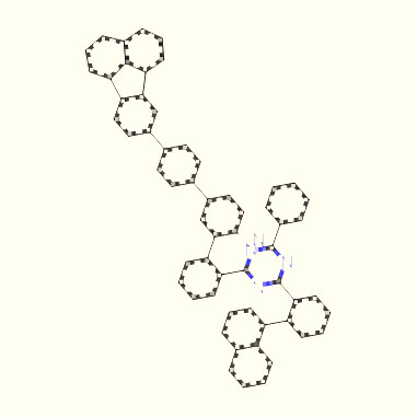 N#Cc1ccc(-c2ccc(-c3ccc4c(c3)-c3cccc5cccc-4c35)cc2)cc1-c1ccccc1-c1nc(-c2ccccc2)nc(-c2ccccc2-c2cccc3ccccc23)n1